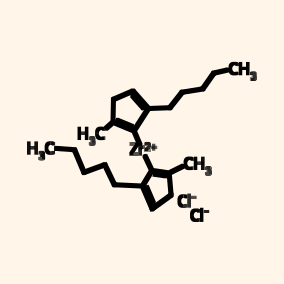 CCCCCC1=CCC(C)=[C]1[Zr+2][C]1=C(C)CC=C1CCCCC.[Cl-].[Cl-]